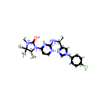 [2H]C1([2H])[C@H](C(C)C)N(c2ccnc(N[C@@H](C)c3cn(-c4ccc(Cl)cc4)cn3)n2)C(=O)N1C